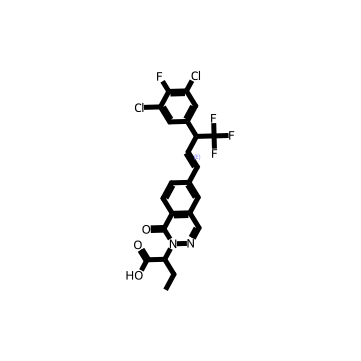 CCC(C(=O)O)n1ncc2cc(/C=C/C(c3cc(Cl)c(F)c(Cl)c3)C(F)(F)F)ccc2c1=O